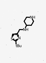 CC(C)(C)c1nc(CNC2CCNCC2)cs1